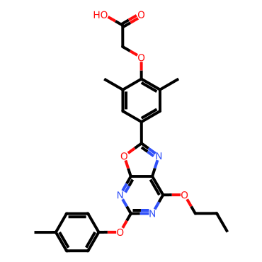 CCCOc1nc(Oc2ccc(C)cc2)nc2oc(-c3cc(C)c(OCC(=O)O)c(C)c3)nc12